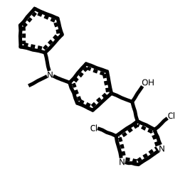 CN(c1ccccc1)c1ccc(C(O)c2c(Cl)ncnc2Cl)cc1